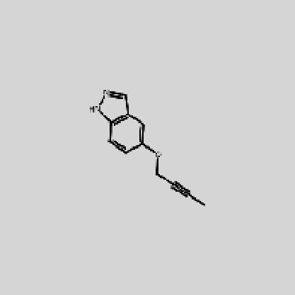 CC#CCOc1ccc2[nH]ncc2c1